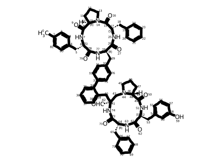 Cc1ccc(C[C@@H]2NC(=O)[C@H]3CCCN3C(=O)[C@H](Cc3ccccc3)NC(=O)[C@@H](Cc3ccc(-c4ccccc4C[C@@]4(C=O)CN5CCC[C@@H]5C(=O)N[C@@H](Cc5cccc(O)c5)C(=O)N[C@H](Cc5ccccc5)C(=O)N4)cc3)NC2=O)cc1